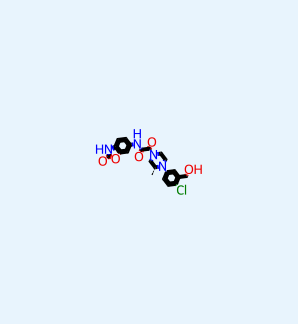 C[C@@H]1CN(C(=O)C(=O)Nc2ccc3[nH]c(=O)oc3c2)CCN1c1ccc(Cl)c(CO)c1